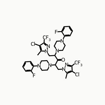 Cc1c(Cl)c(C(F)(F)F)nn1CC(C(=O)C(Cn1nc(C(F)(F)F)c(Cl)c1C)N1CCN(c2ccccc2F)CC1)N1CCN(c2ccccc2F)CC1